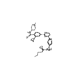 CCCCC(=O)Nc1csc(-c2ccnc(-c3ccc(C(=O)N(C)C4CCN(C)CC4)c(OC)c3)n2)c1